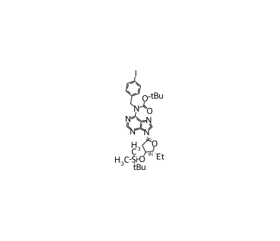 CC[C@H]1O[C@@H](n2cnc3c(N(Cc4ccc(I)cc4)C(=O)OC(C)(C)C)ncnc32)CC1O[Si](C)(C)C(C)(C)C